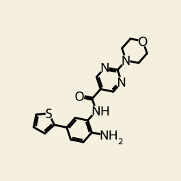 Nc1ccc(-c2cccs2)cc1NC(=O)c1cnc(N2CCOCC2)nc1